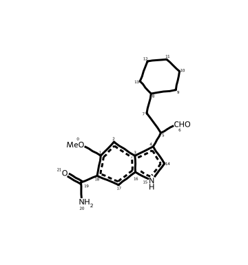 COc1cc2c(C(C=O)CC3CCCCC3)c[nH]c2cc1C(N)=O